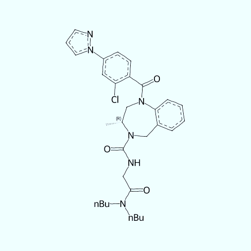 CCCCN(CCCC)C(=O)CNC(=O)N1Cc2ccccc2N(C(=O)c2ccc(-n3cccn3)cc2Cl)C[C@H]1C